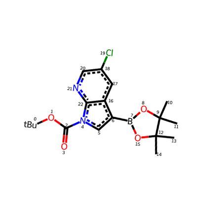 CC(C)(C)OC(=O)n1cc(B2OC(C)(C)C(C)(C)O2)c2cc(Cl)cnc21